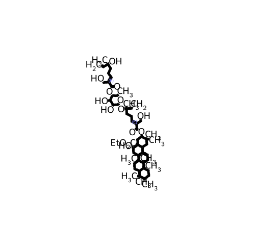 C=CC(C)(O)CC/C=C(\CO)C(=O)OC1C(C)OC(O[C@](C)(C=C)CC/C=C(\CO)C(=O)OC2CC3(C(=O)OCC)C(O)CC4(C)C(=CCC5C6(C)CCC(C)C(C)(C)C6CCC54C)C3CC2(C)C)C(O)C1O